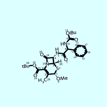 CO[C@H]1S[C@H]2[C@@H](NC(=O)C(NC(=O)OCC(C)C)c3ccccc3)C(=O)N2C(C(=O)OC(C)(C)C)=C1C